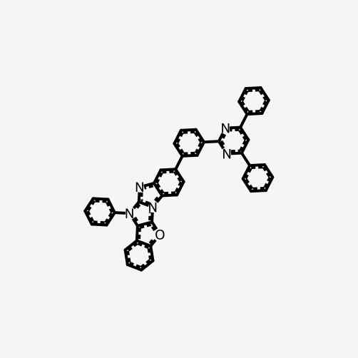 c1ccc(-c2cc(-c3ccccc3)nc(-c3cccc(-c4ccc5c(c4)nc4n(-c6ccccc6)c6c7ccccc7oc6n54)c3)n2)cc1